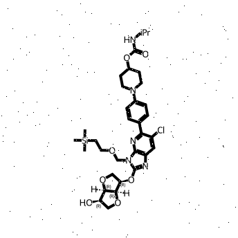 CC(C)NC(=O)OC1CCN(c2ccc(-c3nc4c(cc3Cl)nc(O[C@@H]3CO[C@H]5[C@@H]3OC[C@H]5O)n4COCC[Si](C)(C)C)cc2)CC1